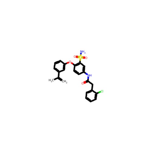 C=C(C)c1cccc(Oc2ccc(NC(=O)Cc3ccccc3Cl)cc2S(N)(=O)=O)c1